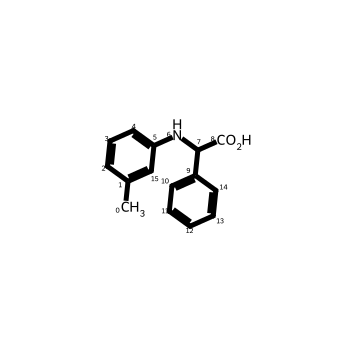 Cc1cccc(NC(C(=O)O)c2ccccc2)c1